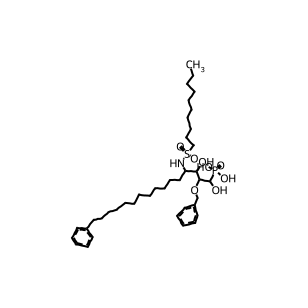 CCCCCCCCCCS(=O)(=O)NC(CCCCCCCCCCCCc1ccccc1)C(O)C(OCc1ccccc1)C(O)P(=O)(O)O